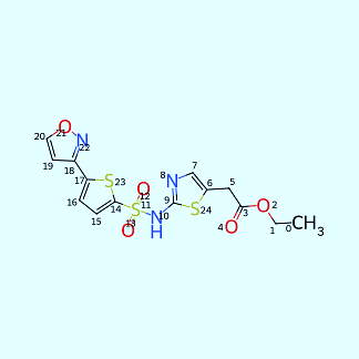 CCOC(=O)Cc1cnc(NS(=O)(=O)c2ccc(-c3ccon3)s2)s1